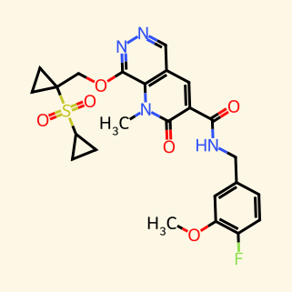 COc1cc(CNC(=O)c2cc3cnnc(OCC4(S(=O)(=O)C5CC5)CC4)c3n(C)c2=O)ccc1F